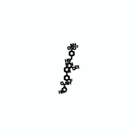 CCOc1nc(NCc2ccc(S(N)(=O)=O)cc2)nc2ccc(-c3ccc(NC(=O)[C@H]4CCNC4)c(F)c3)nc12